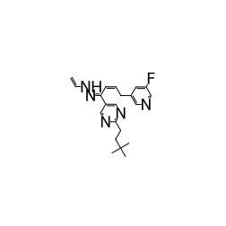 C=CN/N=C(\C=C/Cc1cncc(F)c1)c1cnc(CCC(C)(C)C)nc1